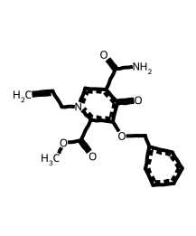 C=CCn1cc(C(N)=O)c(=O)c(OCc2ccccc2)c1C(=O)OC